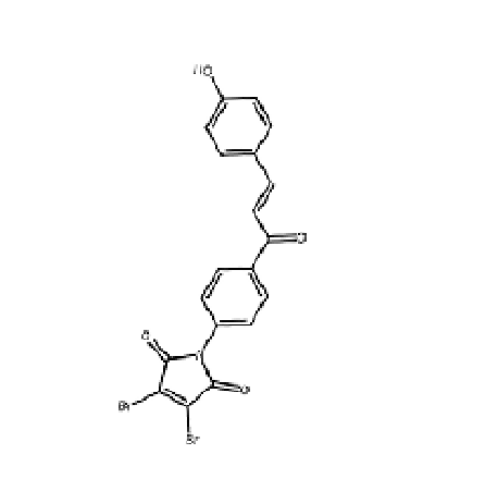 O=C(/C=C/c1ccc(O)cc1)c1ccc(N2C(=O)C(Br)=C(Br)C2=O)cc1